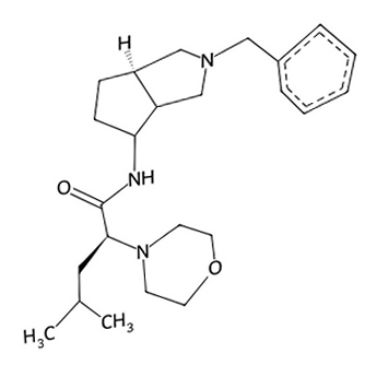 CC(C)C[C@@H](C(=O)NC1CC[C@H]2CN(Cc3ccccc3)CC12)N1CCOCC1